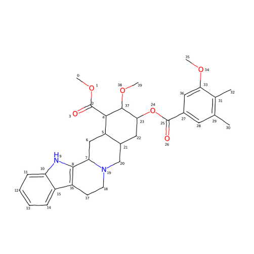 COC(=O)C1C2CC3c4[nH]c5ccccc5c4CCN3CC2CC(OC(=O)c2cc(C)c(C)c(OC)c2)C1OC